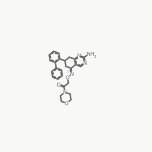 Nc1ncc2c(n1)CC(c1ccccc1-c1ccccc1)C/C2=N\OCC(=O)N1CCOCC1